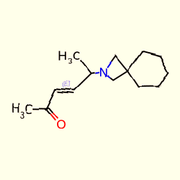 CC(=O)/C=C/C(C)N1CC2(CCCCC2)C1